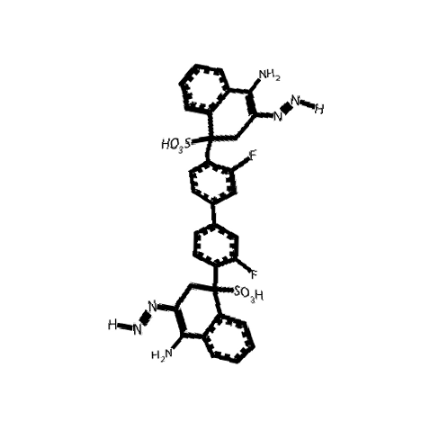 [H]/N=N/C1=C(N)c2ccccc2C(c2ccc(-c3ccc(C4(S(=O)(=O)O)CC(/N=N/[H])=C(N)c5ccccc54)c(F)c3)cc2F)(S(=O)(=O)O)C1